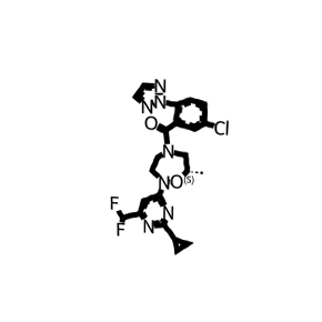 C[C@H]1CN(C(=O)c2cc(Cl)ccc2-n2nccn2)CCN(c2cc(C(F)F)nc(C3CC3)n2)O1